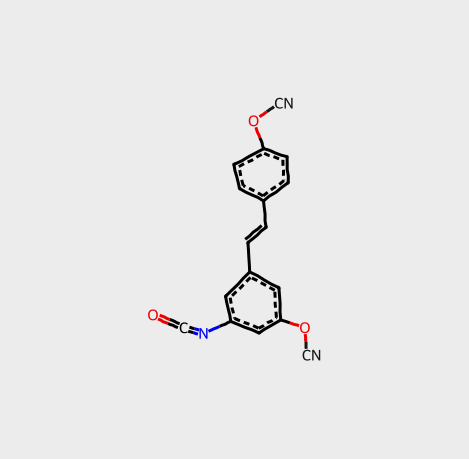 N#COc1ccc(/C=C/c2cc(N=C=O)cc(OC#N)c2)cc1